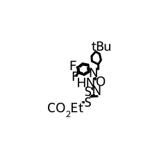 CCOC(=O)CSc1cnc(NC(=O)N(CC2CCC(C(C)(C)C)CC2)c2ccc(F)c(F)c2)s1